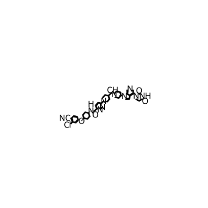 CC(C1CCN(c2ccc(C(=O)N[C@H]3CC[C@H](Oc4ccc(C#N)c(Cl)c4)CC3)nn2)CC1)N1CCC(n2ccc3c(N4CCC(=O)NC4=O)cncc32)CC1